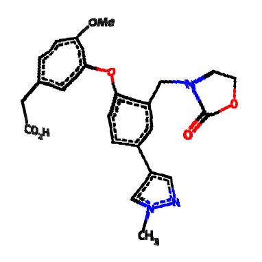 COc1ccc(CC(=O)O)cc1Oc1ccc(-c2cnn(C)c2)cc1CN1CCOC1=O